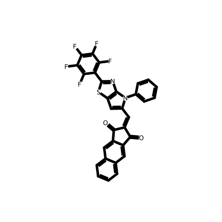 O=C1C(=Cc2cc3sc(-c4c(F)c(F)c(F)c(F)c4F)nc3n2-c2ccccc2)C(=O)c2cc3ccccc3cc21